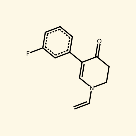 C=CN1C=C(c2cccc(F)c2)C(=O)CC1